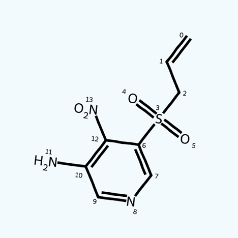 C=CCS(=O)(=O)c1cncc(N)c1[N+](=O)[O-]